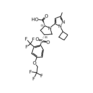 Cc1cc(N2C[C@H](S(=O)(=O)c3ccc(OCC(F)(F)F)cc3C(F)(F)F)C[C@H]2C(=O)O)n(C2CCC2)n1